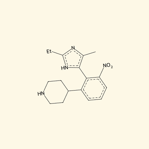 CCc1nc(C)c(-c2c(C3CCNCC3)cccc2[N+](=O)[O-])[nH]1